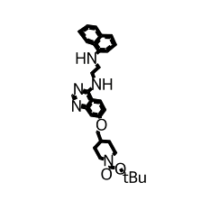 CC(C)(C)OC(=O)N1CCC(COc2ccc3c(NCCNc4cccc5ccccc45)ncnc3c2)CC1